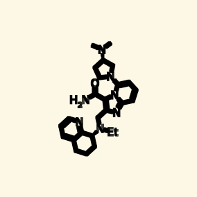 CCN(Cc1nc2cccc(N3CC[C@@H](N(C)C)C3)n2c1C(N)=O)[C@H]1CCCc2cccnc21